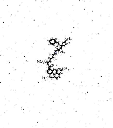 C=CC[C@@]1(CC(C)C)C[C@](C)(/C=N/NC(=O)CC[C@H](NC(=O)c2ccc(N(C)Cc3cnc4nc(N)nc(N)c4n3)cc2)C(=O)O)ON1Cc1ccccc1